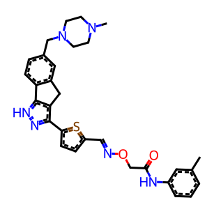 Cc1cccc(NC(=O)CO/N=C/c2ccc(-c3n[nH]c4c3Cc3cc(CN5CCN(C)CC5)ccc3-4)s2)c1